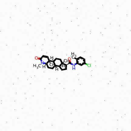 Cc1ccc(Cl)cc1NC(=O)[C@H]1CC[C@H]2[C@@H]3CC[C@H]4N(C)C(=O)C=C[C@]4(C)[C@H]3CC[C@]12C